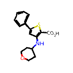 O=C(O)c1sc(-c2ccccc2)cc1NC1CCOCC1